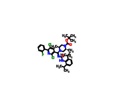 CC(C)c1cccc(C(C)C)c1NC(=O)N=C(c1cc(Cl)c(-c2ccccc2F)nc1Cl)N1C[C@@H](C)N(C(=O)OC(C)(C)C)C[C@@H]1C